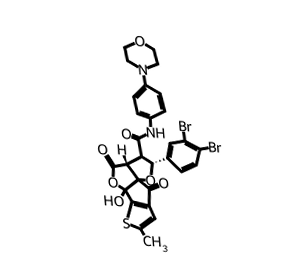 Cc1cc2c(s1)C1(O)OC(=O)[C@@H]3C(C(=O)Nc4ccc(N5CCOCC5)cc4)[C@H](c4ccc(Br)c(Br)c4)OC31C2=O